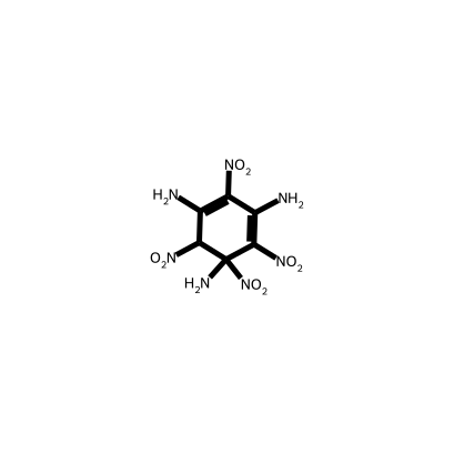 NC1=C([N+](=O)[O-])C(N)([N+](=O)[O-])C([N+](=O)[O-])C(N)=C1[N+](=O)[O-]